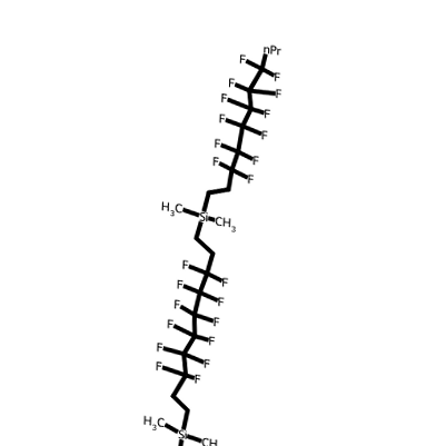 CCCC(F)(F)C(F)(F)C(F)(F)C(F)(F)C(F)(F)C(F)(F)CC[Si](C)(C)CCC(F)(F)C(F)(F)C(F)(F)C(F)(F)C(F)(F)C(F)(F)CC[Si](C)(C)C